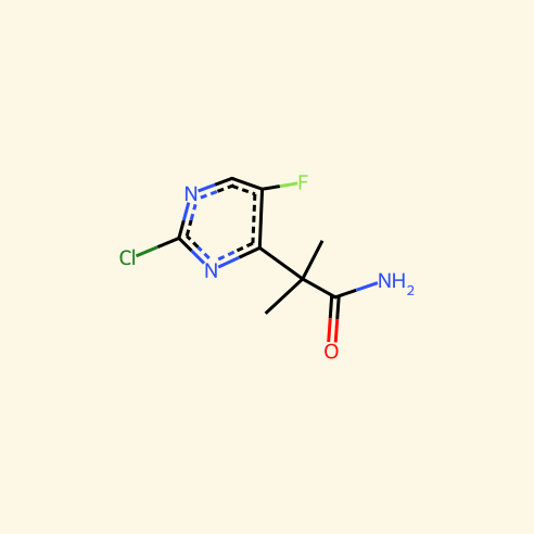 CC(C)(C(N)=O)c1nc(Cl)ncc1F